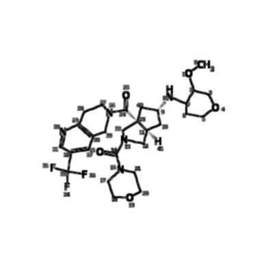 COC1COCCC1N[C@@H]1C[C@H]2CN(C(=O)N3CCOCC3)C[C@@]2(C(=O)N2CCc3ncc(C(F)(F)F)cc3C2)C1